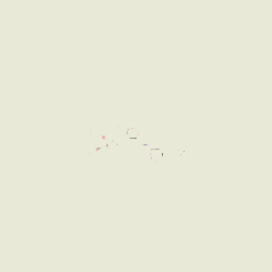 COc1cncc(/C=C(\F)c2cc(F)c(OC(F)F)c(C(=O)N[C@H]3C[C@H](OC(F)(F)F)C[C@@H]3O)c2)c1